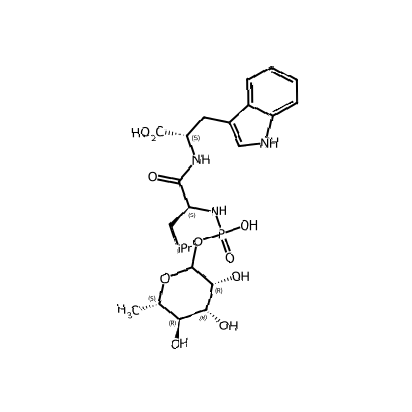 CC(C)C[C@H](NP(=O)(O)OC1O[C@@H](C)[C@H](O)[C@@H](O)[C@H]1O)C(=O)N[C@@H](Cc1c[nH]c2ccccc12)C(=O)O